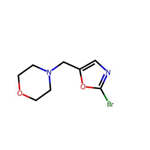 Brc1ncc(CN2CCOCC2)o1